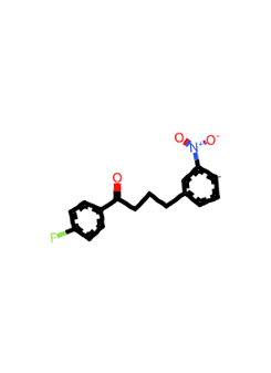 O=C(CCCc1cc[c]c([N+](=O)[O-])c1)c1ccc(F)cc1